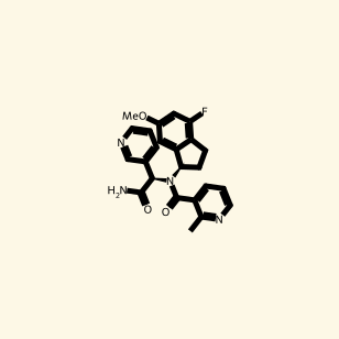 COc1cc(F)c2c(c1)[C@H](N(C(=O)c1cccnc1C)[C@@H](C(N)=O)c1cccnc1)CC2